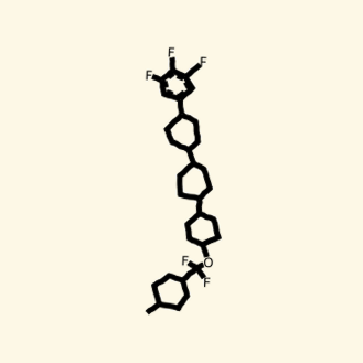 CC1CCC(C(F)(F)OC2CCC(C3CCC(C4CCC(c5cc(F)c(F)c(F)c5)CC4)CC3)CC2)CC1